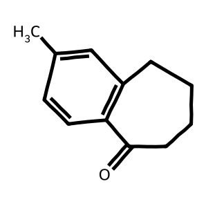 Cc1ccc2c(c1)CCCCC2=O